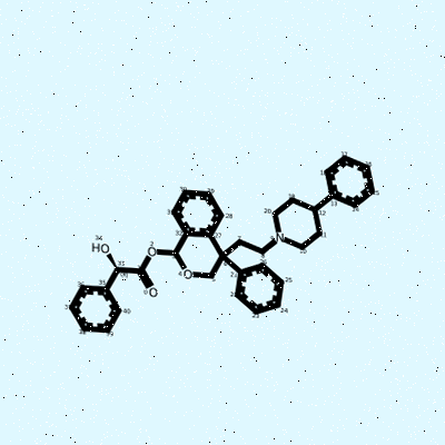 O=C(OC1OCC(CCN2CCC(c3ccccc3)CC2)(c2ccccc2)c2ccccc21)[C@H](O)c1ccccc1